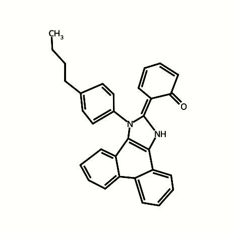 CCCCc1ccc(N2/C(=C3\C=CC=CC3=O)Nc3c2c2ccccc2c2ccccc32)cc1